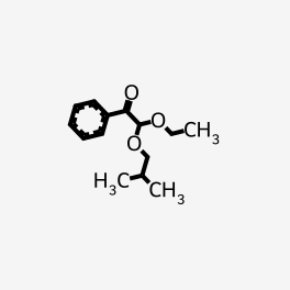 CCOC(OCC(C)C)C(=O)c1ccccc1